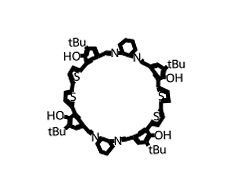 CC(C)(C)c1cc2cc(c1O)-c1ccc(s1)-c1ccc(s1)-c1cc(cc(C(C)(C)C)c1O)C=NC1CCCCC1N=Cc1cc(c(O)c(C(C)(C)C)c1)-c1ccc(s1)-c1ccc(s1)-c1cc(cc(C(C)(C)C)c1O)C=NC1CCCCC1N=C2